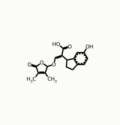 CC1=C(C)C(O/C=C(/C(=O)O)C2CCc3ccc(O)cc32)OC1=O